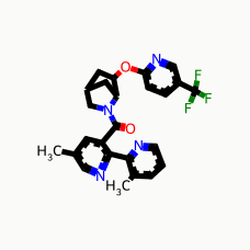 Cc1cnc(-c2ncccc2C)c(C(=O)N2CC3CC(Oc4ccc(C(F)(F)F)cn4)C2C3)c1